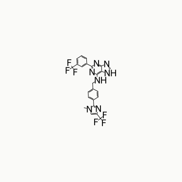 Cn1cc(C(F)(F)F)nc1-c1ccc(CNc2nc(-c3cccc(C(F)(F)F)c3)nc3nc[nH]c23)cc1